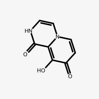 O=c1ccn2cc[nH]c(=O)c2c1O